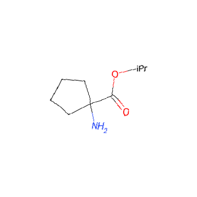 CC(C)OC(=O)C1(N)CCCC1